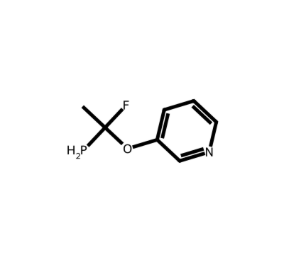 CC(F)(P)Oc1cccnc1